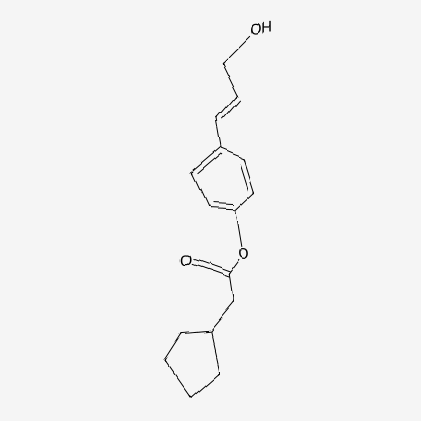 O=C(CC1CCCC1)Oc1ccc(C=CCO)cc1